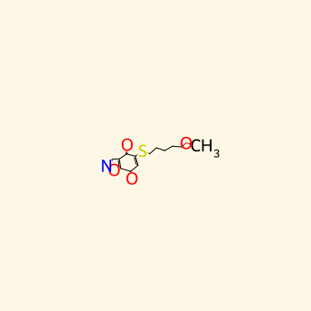 COCCCCCSC1=CC(=O)c2oncc2C1=O